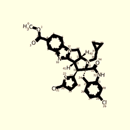 COC(=O)c1ccc2c(c1)nc1n2C[C@H]2[C@@H]1[C@H](c1ccc(Cl)s1)[C@@]1(Cc3ccc(Cl)cc3NC1=O)N2CC1CC1